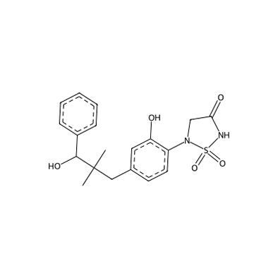 CC(C)(Cc1ccc(N2CC(=O)NS2(=O)=O)c(O)c1)C(O)c1ccccc1